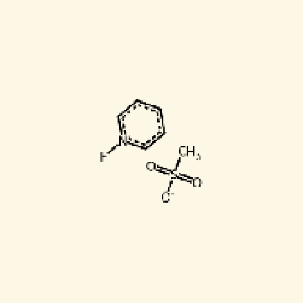 CS(=O)(=O)[O-].F[n+]1ccccc1